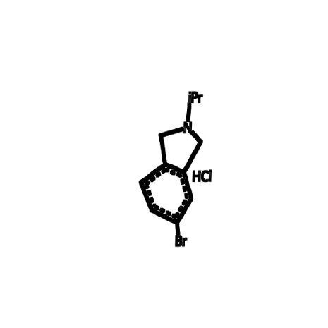 CC(C)N1Cc2ccc(Br)cc2C1.Cl